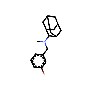 CN(Cc1cccc(Br)c1)C1C2CC3CC(C2)CC1C3